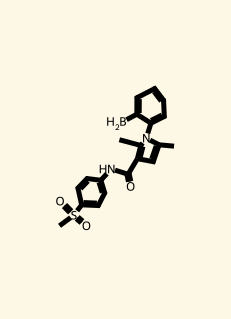 Bc1ccccc1-n1c(C)cc(C(=O)Nc2ccc(S(C)(=O)=O)cc2)c1C